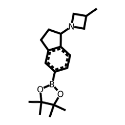 CC1CN(C2CCc3cc(B4OC(C)(C)C(C)(C)O4)ccc32)C1